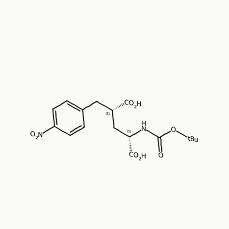 CC(C)(C)OC(=O)N[C@@H](C[C@H](Cc1ccc([N+](=O)[O-])cc1)C(=O)O)C(=O)O